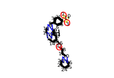 CS(=O)(=O)c1ccc(CN2CCN3CC[C@H](COCCCN4CCCCC4)C[C@@H]3C2)cc1